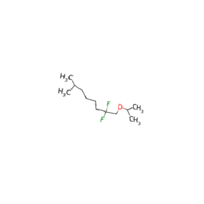 CC(C)CCCCC(F)(F)COC(C)C